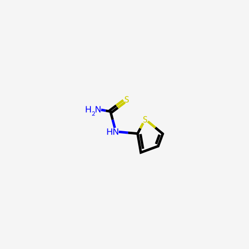 NC(=S)Nc1cccs1